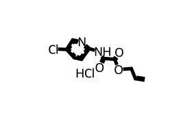 C=CCOC(=O)C(=O)Nc1ccc(Cl)cn1.Cl